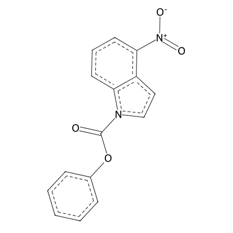 O=C(Oc1ccccc1)n1ccc2c([N+](=O)[O-])cccc21